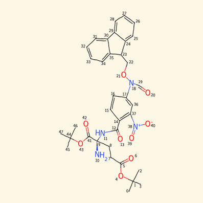 CC(C)(C)OC(=O)CC[C@@](N)(NC(=O)c1ccc(N(C=O)OCC2c3ccccc3-c3ccccc32)cc1[N+](=O)[O-])C(=O)OC(C)(C)C